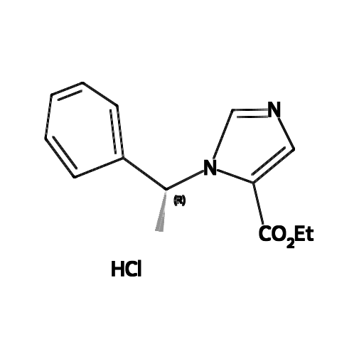 CCOC(=O)c1cncn1[C@H](C)c1ccccc1.Cl